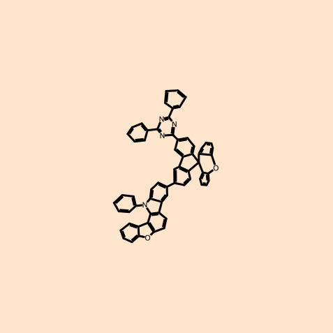 c1ccc(-c2nc(-c3ccccc3)nc(-c3ccc4c(c3)-c3cc(-c5ccc6c(c5)c5ccc7oc8ccccc8c7c5n6-c5ccccc5)ccc3C43c4ccccc4Oc4ccccc43)n2)cc1